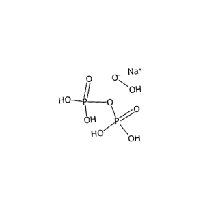 O=P(O)(O)OP(=O)(O)O.[Na+].[O-]O